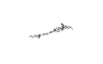 Cc1ccc(S(=O)(=O)CCCOCCOCCOCCOC(=O)c2cccc(NC(=O)NS(=O)(=O)c3ccc(C)cc3)c2)cc1